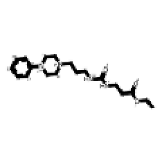 CCOC(=O)CCNC(=O)NCCCN1CCN(c2ccccc2)CC1